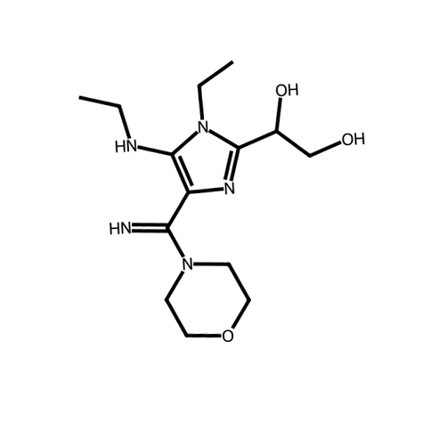 CCNc1c(C(=N)N2CCOCC2)nc(C(O)CO)n1CC